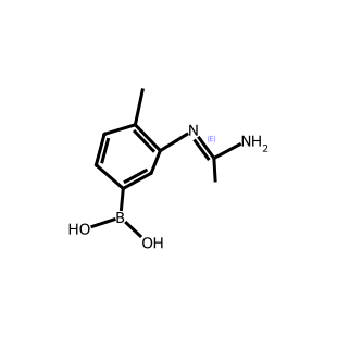 C/C(N)=N\c1cc(B(O)O)ccc1C